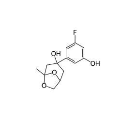 CC12CC(O)(c3cc(O)cc(F)c3)CC(CO1)O2